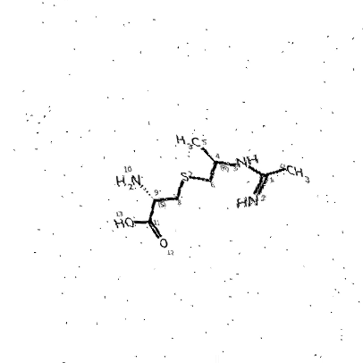 CC(=N)N[C@H](C)CSC[C@@H](N)C(=O)O